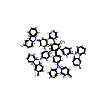 Cc1ccc2c(c1)c1ccccc1n2-c1ccc(-c2c(C#N)c(-c3ccncc3)c(-c3ccc(-n4c5ccccc5c5cc(C)ccc54)cc3)c(-c3ccc(-n4c5ccccc5c5cc(C)ccc54)cc3)c2-c2ccc(-n3c4ccccc4c4cc(C)ccc43)cc2)cc1